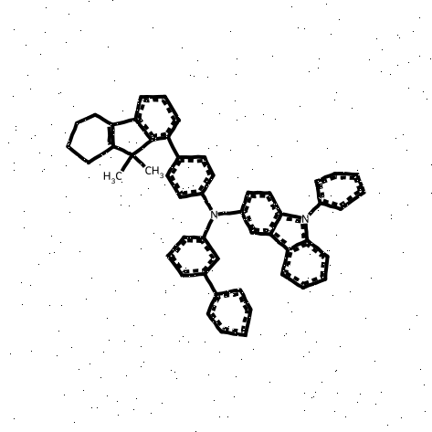 CC1(C)C2=C(CCCC2)c2cccc(-c3ccc(N(c4cccc(-c5ccccc5)c4)c4ccc5c(c4)c4ccccc4n5-c4ccccc4)cc3)c21